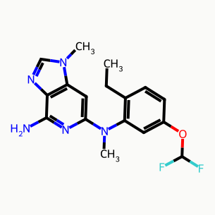 CCc1ccc(OC(F)F)cc1N(C)c1cc2c(ncn2C)c(N)n1